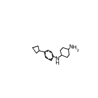 NC1CCC(Nc2ccc(C3CCC3)cc2)CC1